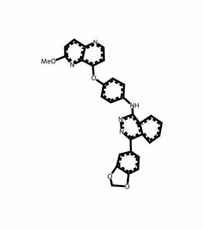 COc1ccc2nccc(Oc3ccc(Nc4nnc(-c5ccc6c(c5)OCO6)c5ccccc45)cc3)c2n1